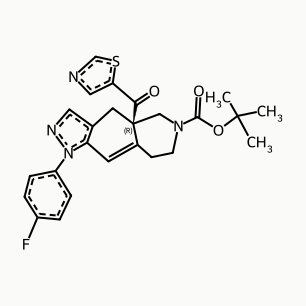 CC(C)(C)OC(=O)N1CCC2=Cc3c(cnn3-c3ccc(F)cc3)C[C@]2(C(=O)c2cncs2)C1